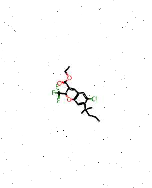 CCCC(C)(C)c1cc2c(cc1Cl)C=C(C(=O)OCC)C(C(F)(F)F)O2